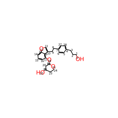 OCCCc1ccc(CCc2coc3cccc(O[C@H]4C[C@@H](O)CCO4)c23)cc1